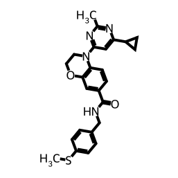 CSc1ccc(CNC(=O)c2ccc3c(c2)OCCN3c2cc(C3CC3)nc(C)n2)cc1